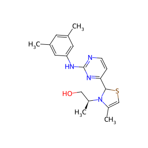 CC1=CSC(c2ccnc(Nc3cc(C)cc(C)c3)n2)N1[C@@H](C)CO